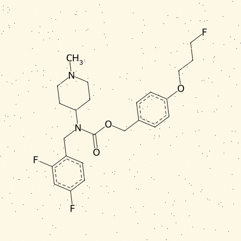 CN1CCC(N(Cc2ccc(F)cc2F)C(=O)OCc2ccc(OCCCF)cc2)CC1